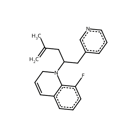 C=C(C)CC(Cc1cccnc1)N1CC=Cc2cccc(F)c21